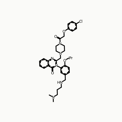 CC(C)Oc1ccc(CNCCCN(C)C)cc1-n1c(CN2CCN(C(=O)COc3ccc(Cl)cc3)CC2)nc2ccccc2c1=O